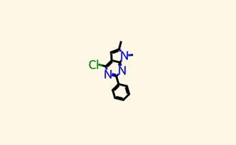 Cc1cc2c(Cl)nc(-c3ccccc3)nc2n1C